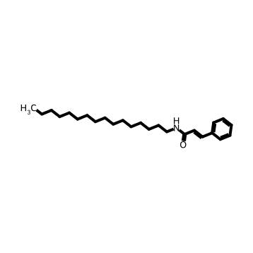 CCCCCCCCCCCCCCCCNC(=O)C=Cc1ccccc1